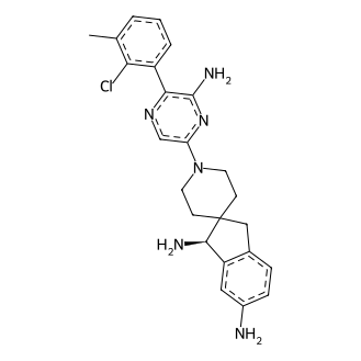 Cc1cccc(-c2ncc(N3CCC4(CC3)Cc3ccc(N)cc3[C@H]4N)nc2N)c1Cl